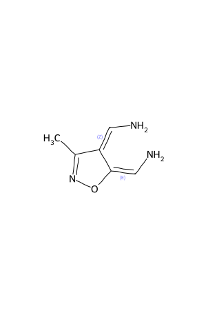 Cc1noc(=C/N)/c1=C\N